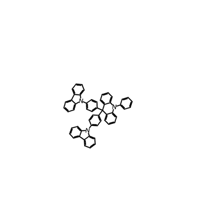 c1ccc(N2c3ccccc3C(c3ccc(-n4c5ccccc5c5ccccc54)cc3)(c3ccc(-n4c5ccccc5c5ccccc54)cc3)c3ccccc32)cc1